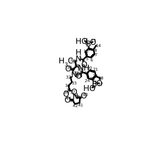 C[C@H](NC(=O)c1ccc2c(c1)B(O)OC2)[C@H](NC(=O)c1ccc2c(c1)B(O)OC2)C(=O)NCCCC(=O)ON1C(=O)CCC1=O